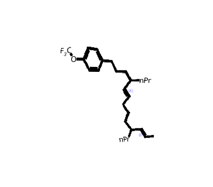 C/C=C/C(CCC)CCC/C=C/C(CCC)CCCc1ccc(OC(F)(F)F)cc1